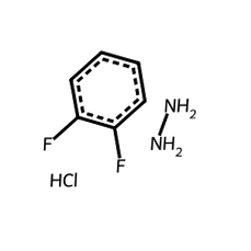 Cl.Fc1ccccc1F.NN